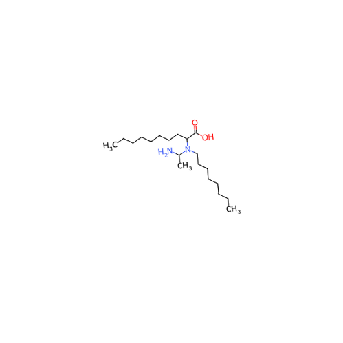 CCCCCCCCC(C(=O)O)N(CCCCCCCC)C(C)N